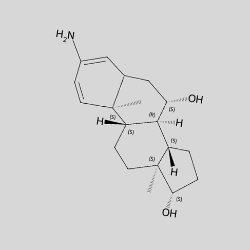 C[C@]12CC[C@H]3[C@@H]([C@@H](O)CC4C=C(N)C=C[C@@]43C)[C@@H]1CC[C@@H]2O